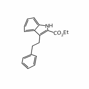 CCOC(=O)c1[nH]c2ccccc2c1CCc1ccccc1